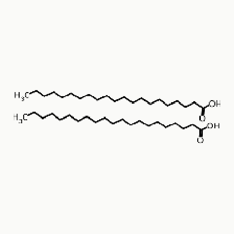 CCCCCCCCCCCCCCCCCCCCC(=O)O.CCCCCCCCCCCCCCCCCCCCC(=O)O